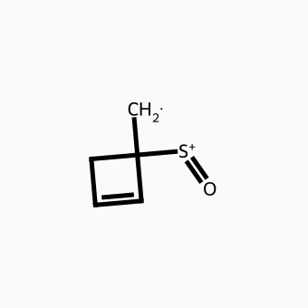 [CH2]C1([S+]=O)C=CC1